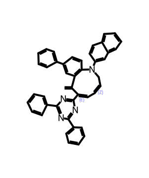 C=C1/C(c2nc(-c3ccccc3)nc(-c3ccccc3)n2)=C\C=C/CN(c2ccc3ccccc3c2)c2ccc(-c3ccccc3)cc21